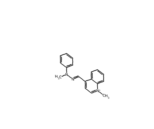 CN(/N=C/c1cc[n+](C)c2ccccc12)c1ccccc1